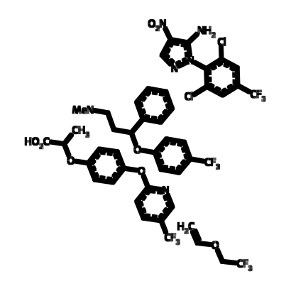 C=COCC(F)(F)F.CC(Oc1ccc(Oc2ccc(C(F)(F)F)cn2)cc1)C(=O)O.CNCCC(Oc1ccc(C(F)(F)F)cc1)c1ccccc1.Nc1c([N+](=O)[O-])cnn1-c1c(Cl)cc(C(F)(F)F)cc1Cl